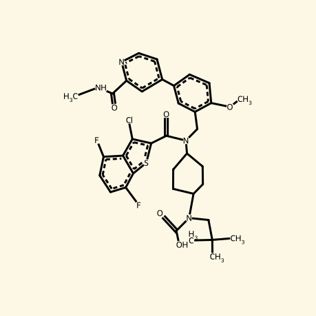 CNC(=O)c1cc(-c2ccc(OC)c(CN(C(=O)c3sc4c(F)ccc(F)c4c3Cl)C3CCC(N(CC(C)(C)C)C(=O)O)CC3)c2)ccn1